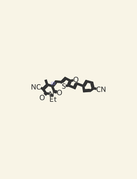 CCN1C(=O)C(C#N)=C(C)/C(=C/c2cc3oc(-c4ccc(C#N)cc4)cc3s2)C1=O